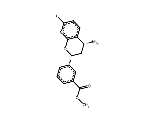 COC(=O)c1cccc([C@H]2C[C@@H](N)c3ccc(F)nc3O2)c1